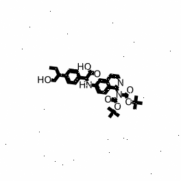 CCC(CO)c1ccc(C(Nc2ccc3c(N(C(=O)OC(C)(C)C)C(=O)OC(C)(C)C)nccc3c2)C(=O)O)cc1